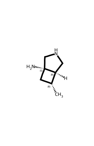 C[C@@H]1C[C@@]2(N)CNC[C@@H]12